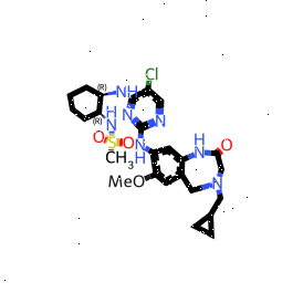 COc1cc2c(cc1Nc1ncc(Cl)c(N[C@@H]3CCCC[C@H]3NS(C)(=O)=O)n1)NC(=O)CN(CC1CC1)C2